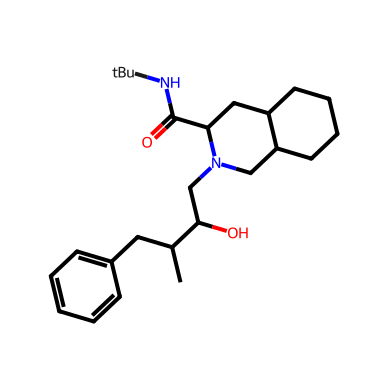 CC(Cc1ccccc1)C(O)CN1CC2CCCCC2CC1C(=O)NC(C)(C)C